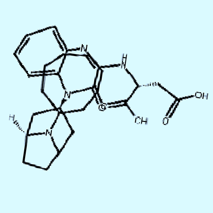 O=C(O)C[C@@H](Nc1nc2ccccc2n([C@H]2CC3CC[C@@H](C2)N3C2CCCCCCC2)c1=O)C(=O)O